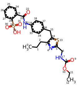 CCCc1nc(CNC(=O)OCC)sc1Cc1ccc(NC(=O)c2ccccc2S(=O)(=O)O)cc1